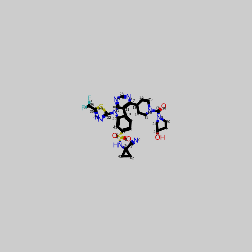 N#CC1(NS(=O)(=O)c2ccc3c4c(C5CCN(C(=O)N6CCC(O)C6)CC5)ncnc4n(-c4nnc(C(F)F)s4)c3c2)CC1